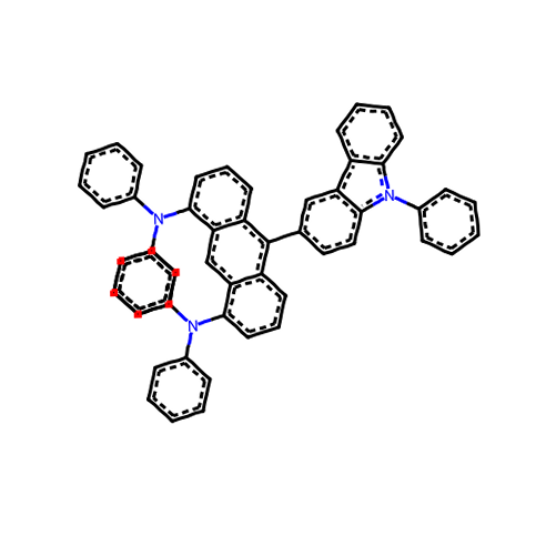 c1ccc(N(c2ccccc2)c2cccc3c(-c4ccc5c(c4)c4ccccc4n5-c4ccccc4)c4cccc(N(c5ccccc5)c5ccccc5)c4cc23)cc1